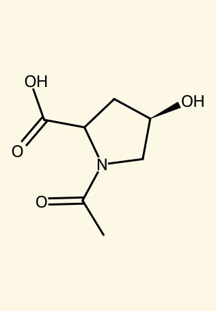 CC(=O)N1C[C@H](O)CC1C(=O)O